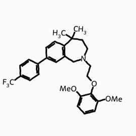 COc1cccc(OC)c1OCCN1CCC(C)(C)c2ccc(-c3ccc(C(F)(F)F)cc3)cc2C1